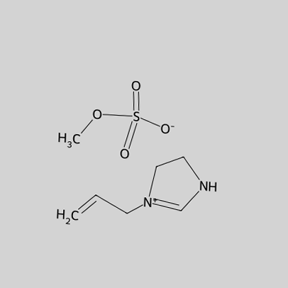 C=CC[N+]1=CNCC1.COS(=O)(=O)[O-]